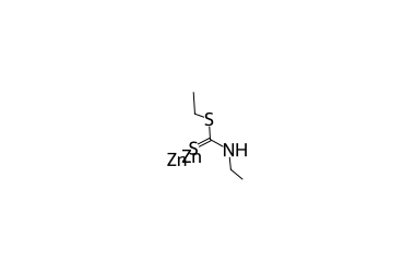 CCNC(=S)SCC.[Zn].[Zn]